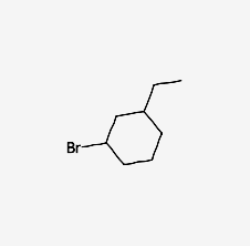 CCC1CCCC(Br)C1